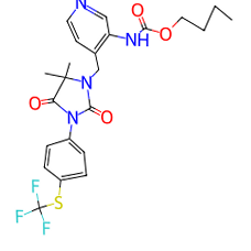 CCCCOC(=O)Nc1cnccc1CN1C(=O)N(c2ccc(SC(F)(F)F)cc2)C(=O)C1(C)C